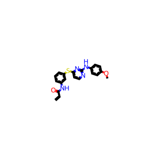 C=CC(=O)Nc1cccc(Sc2ccnc(Nc3ccc(OC)cc3)n2)c1